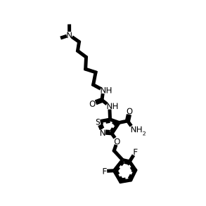 CN(C)CCCCCCNC(=O)Nc1snc(OCc2c(F)cccc2F)c1C(N)=O